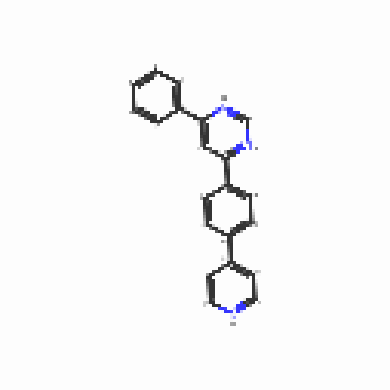 c1ccc(-c2cc(-c3ccc(-c4ccncc4)cc3)ncn2)cc1